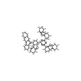 c1ccc2cc3c(cc2c1)c1ccccc1n3-c1ccc(-c2nc(-c3cccc4c3oc3ccccc34)nc(-c3cccc4c3oc3ccccc34)n2)c2oc3ccccc3c12